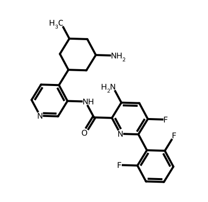 CC1CC(N)CC(c2ccncc2NC(=O)c2nc(-c3c(F)cccc3F)c(F)cc2N)C1